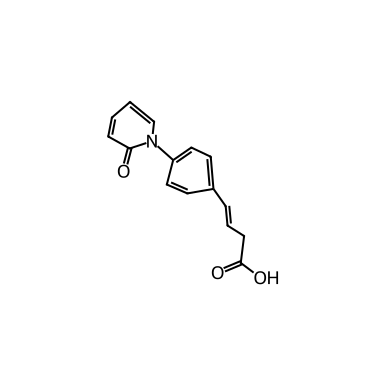 O=C(O)C/C=C/c1ccc(-n2ccccc2=O)cc1